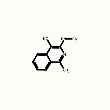 Cc1nc(NC#N)c(C#N)c2ccccc12